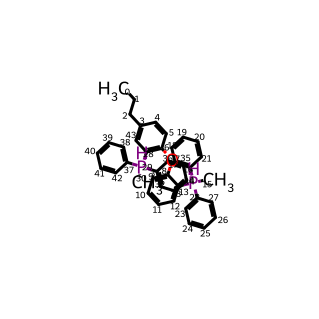 CCCc1ccc(Oc2ccccc2[PH](C)(c2ccccc2)c2ccccc2)c([PH](C)(c2ccccc2)c2ccccc2)c1